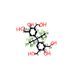 OCc1cc(C(c2cc(CO)c(O)c(CO)c2)(C(F)(F)C(F)(F)F)C(F)(F)C(F)(F)F)cc(CO)c1O